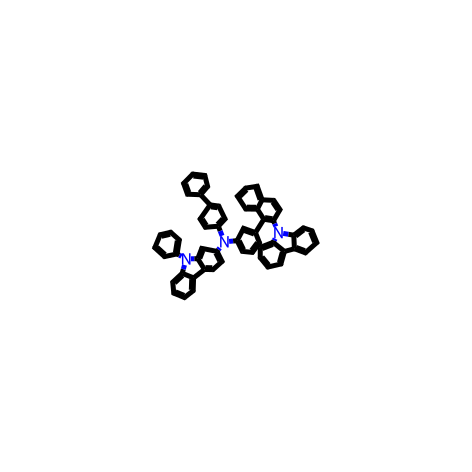 c1ccc(-c2ccc(N(c3cccc(-c4c(-n5c6ccccc6c6ccccc65)ccc5ccccc45)c3)c3ccc4c5ccccc5n(-c5ccccc5)c4c3)cc2)cc1